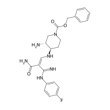 N=C(Nc1ccc(F)cc1)/C(=C\N[C@@H]1CCN(C(=O)OCc2ccccc2)C[C@H]1N)C(N)=O